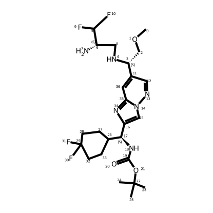 COC[C@@H](NC[C@H](N)C(F)F)c1cnn2cc([C@@H](NC(=O)OC(C)(C)C)C3CCC(F)(F)CC3)nc2c1